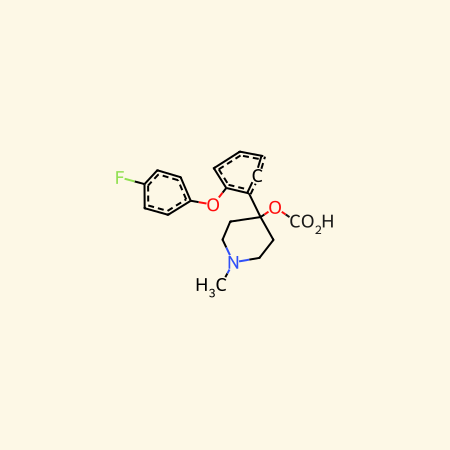 CN1CCC(OC(=O)O)(c2ccccc2Oc2ccc(F)cc2)CC1